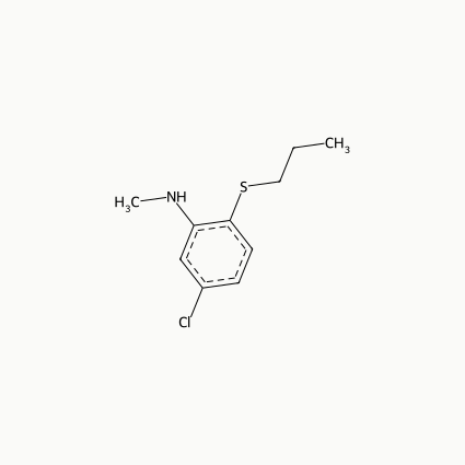 CCCSc1ccc(Cl)cc1NC